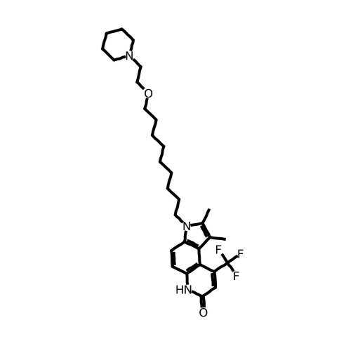 Cc1c(C)n(CCCCCCCCCOCCN2CCCCC2)c2ccc3[nH]c(=O)cc(C(F)(F)F)c3c12